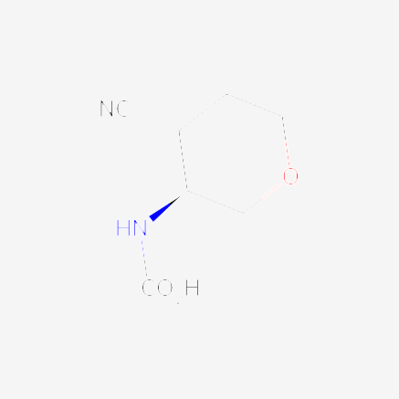 N#C[C@@H]1CCOC[C@H]1NC(=O)O